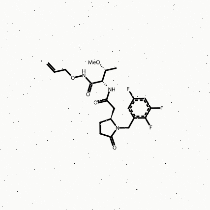 C=CCONC(=O)[C@@H](NC(=O)C[C@@H]1CCC(=O)N1Cc1cc(F)cc(F)c1F)[C@@H](C)OC